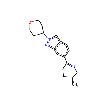 C[C@H]1CCC(c2ccc3cn(C4CCOCC4)nc3c2)=NC1